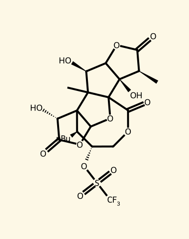 CCCC[C@@H]1[C@@H](OS(=O)(=O)C(F)(F)F)COC(=O)C23OC4OC(=O)[C@H](O)C41C2(C)[C@@H](O)C1OC(=O)[C@@H](C)[C@@]13O